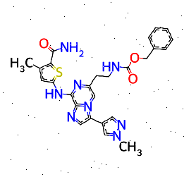 Cc1cc(Nc2nc(CCNC(=O)OCc3ccccc3)cn3c(-c4cnn(C)c4)cnc23)sc1C(N)=O